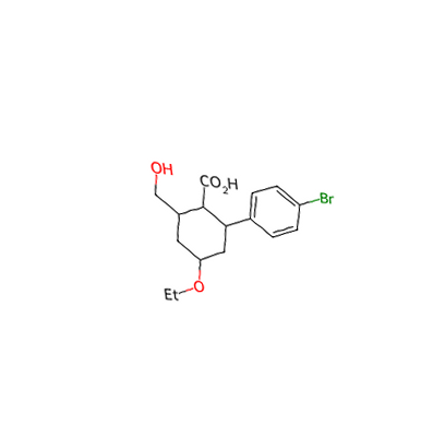 CCOC1CC(CO)C(C(=O)O)C(c2ccc(Br)cc2)C1